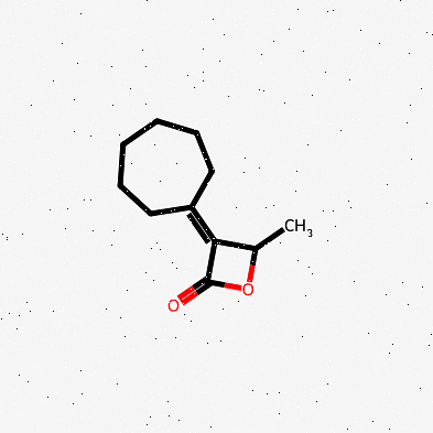 CC1OC(=O)C1=C1CCCCCC1